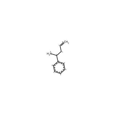 C=CCC(N)c1cc[c]cc1